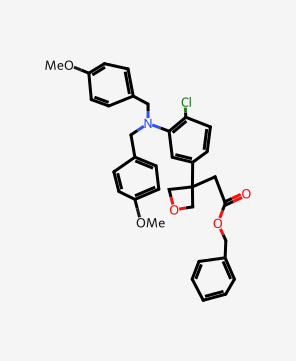 COc1ccc(CN(Cc2ccc(OC)cc2)c2cc(C3(CC(=O)OCc4ccccc4)COC3)ccc2Cl)cc1